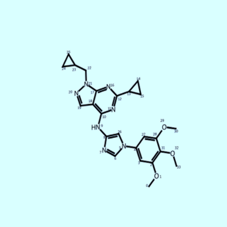 COc1cc(-n2cnc(Nc3nc(C4CC4)nc4c3cnn4CC3CC3)c2)cc(OC)c1OC